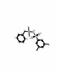 Cc1cc(C)cc(S(=O)(=O)O[Si](C)(C)Cc2ccccc2)c1